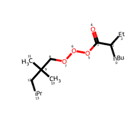 CCCCC(CC)C(=O)OOOCC(C)(C)CC(C)C